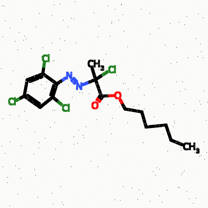 CCCCCCOC(=O)C(C)(Cl)N=Nc1c(Cl)cc(Cl)cc1Cl